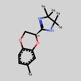 [2H]c1ccc2c(c1)O[C@H](C1=NC([2H])([2H])C([2H])([2H])N1)CO2